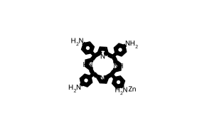 Nc1ccc(-c2c3nc(c(-c4ccc(N)cc4)c4ccc([nH]4)c(-c4ccc(N)cc4)c4nc(c(-c5ccc(N)cc5)c5ccc2[nH]5)C=C4)C=C3)cc1.[Zn]